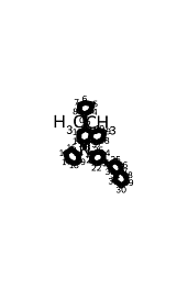 CC(C)(c1ccccc1)c1ccc(N(c2ccccc2)c2ccc(-c3ccc4ccccc4c3)cc2)c2ccccc12